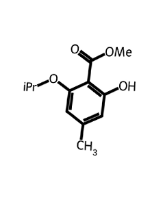 COC(=O)c1c(O)cc(C)cc1OC(C)C